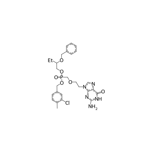 CCC(COP(=O)(COCCn1cnc2c(=O)[nH]c(N)nc21)OCc1ccc(C)c(Cl)c1)OCc1ccccc1